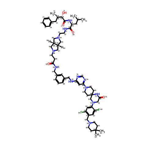 CC(C)C[C@H](NC(=O)[C@@H](O)[C@H](C)Cc1ccccc1)C(=O)NCCN1C[C@@H]2CN(CCC(=O)NCc3cccc(CNc4cc(N5CCC6(CC5)CN(c5cc(F)c(CN7CCC(C)(C)CC7)cc5F)CC(=O)N6)ncn4)c3)C[C@@H]2C1